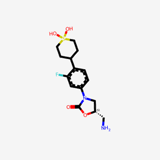 NC[C@H]1CN(c2ccc(C3CCS(O)(O)CC3)c(F)c2)C(=O)O1